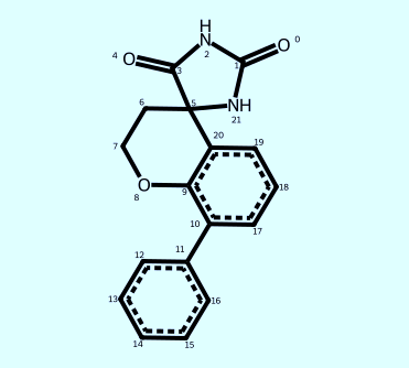 O=C1NC(=O)C2(CCOc3c(-c4ccccc4)cccc32)N1